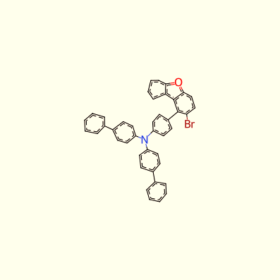 Brc1ccc2oc3ccccc3c2c1-c1ccc(N(c2ccc(-c3ccccc3)cc2)c2ccc(-c3ccccc3)cc2)cc1